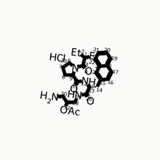 CCC(CC)C(=O)N1CCCC1C(=O)N[C@H](Cc1ccc2ccccc2c1)C(=O)NCC(CN)OC(C)=O.Cl